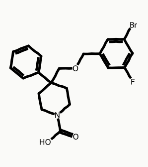 O=C(O)N1CCC(COCc2cc(F)cc(Br)c2)(c2ccccc2)CC1